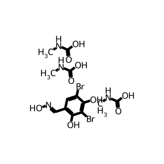 CNC(=O)O.CNC(=O)O.CNC(=O)O.ON=Cc1cc(Br)c(O)c(Br)c1O